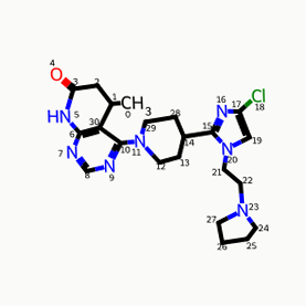 CC1CC(=O)Nc2ncnc(N3CCC(c4nc(Cl)cn4CCN4CCCC4)CC3)c21